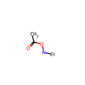 CC[N]OC(C)=O